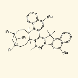 Cc1nc2c(c3[n+]1C1(C)CC[N+]4(C(C)C)C[N+](C(C)C)(CCC1(C)c1c-3cc(C(C)(C)C)c3ccccc13)C4C(C)C)C(C)(C)c1c-2cc(C(C)(C)C)c2ccccc12